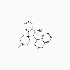 CCOC(c1cccc2ccccc12)C1(c2ccccc2)CCN(C)CC1